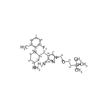 Cc1cccc(F)c1N1CCC(N)CC1Cc1cn(COCC[Si](C)(C)C)nc1N